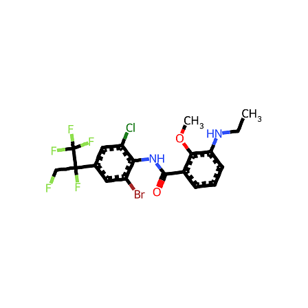 CCNc1cccc(C(=O)Nc2c(Cl)cc(C(F)(CF)C(F)(F)F)cc2Br)c1OC